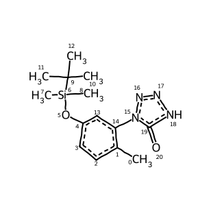 Cc1ccc(O[Si](C)(C)C(C)(C)C)cc1-n1nn[nH]c1=O